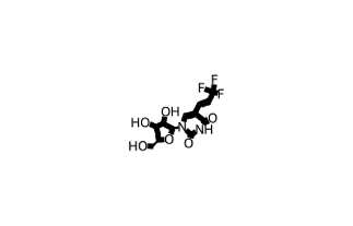 O=c1[nH]c(=O)n([C@H]2O[C@@H](CO)C(O)C2O)cc1C=CC(F)(F)F